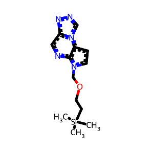 C[Si](C)(C)CCOCn1ccc2c1ncc1nncn12